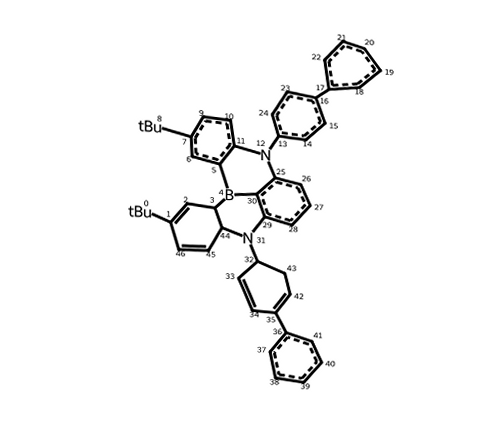 CC(C)(C)C1=CC2B3c4cc(C(C)(C)C)ccc4N(c4ccc(-c5ccccc5)cc4)c4cccc(c43)N(C3C=CC(c4ccccc4)=CC3)C2C=C1